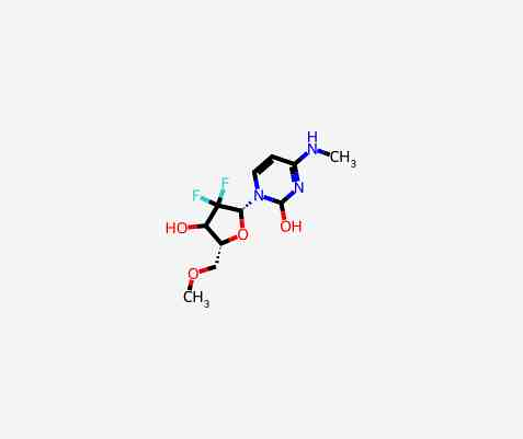 CNC1=NC(O)N([C@@H]2O[C@H](COC)C(O)C2(F)F)C=C1